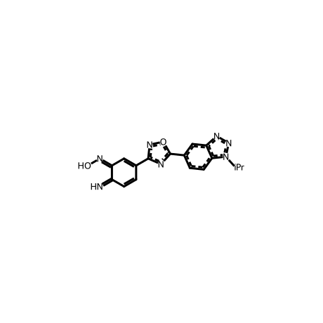 CC(C)n1nnc2cc(-c3nc(C4=C/C(=N/O)C(=N)C=C4)no3)ccc21